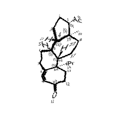 CC(=O)[C@H]1CC[C@H]2[C@@H]3CCC4=CC(=O)CC[C@]4(C(C)C)[C@H]3CC[C@]12C